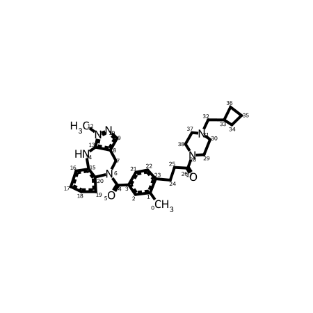 Cc1cc(C(=O)N2Cc3cnn(C)c3Nc3ccccc32)ccc1CCC(=O)N1CCN(CC2CCC2)CC1